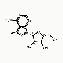 Cc1nn([C@@H]2O[C@H](CO)C(O)[C@H]2O)c2ncnc(N)c12